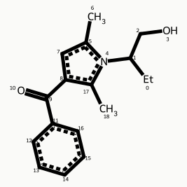 CCC(CO)n1c(C)cc(C(=O)c2ccccc2)c1C